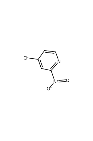 O=[N+]([O-])c1cc(Cl)ccn1